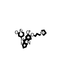 COc1cc2c(NC3CCN(C)C(=O)C3)c3c(nc2cc1OCCCN1CCCC1)CCC3